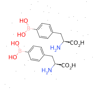 N[C@@H](Cc1ccc(B(O)O)cc1)C(=O)O.N[C@@H](Cc1ccc(B(O)O)cc1)C(=O)O